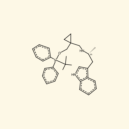 C[C@H](Cc1c[nH]c2ccccc12)NCC1(CO[Si](c2ccccc2)(c2ccccc2)C(C)(C)C)CC1